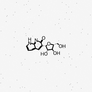 O=c1nc2[nH]cccc-2cc1[C@@H]1O[C@H](CO)C(O)[C@@H]1O